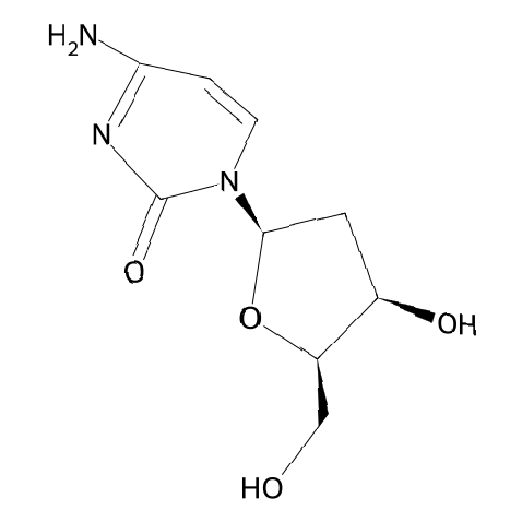 Nc1ccn([C@H]2C[C@@H](O)[C@@H](CO)O2)c(=O)n1